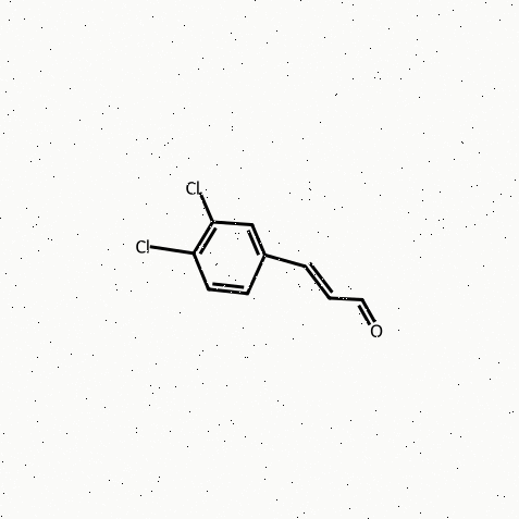 O=CC=Cc1ccc(Cl)c(Cl)c1